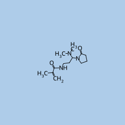 C=C(C)C(=O)NCCC(N(C)C)N1CCCC1=O